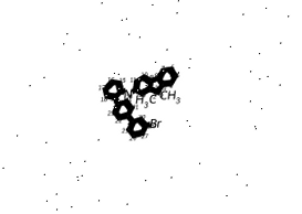 CC1(C)c2ccccc2-c2ccc(-n3c4ccccc4c4ccc(-c5cccc(Br)c5)cc43)cc21